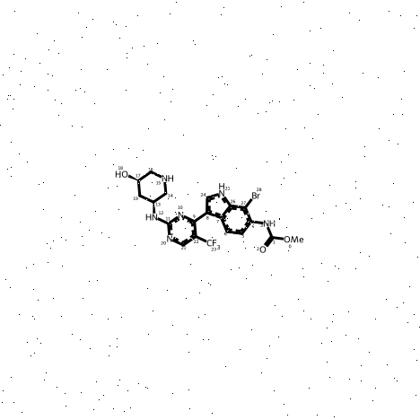 COC(=O)Nc1ccc2c(-c3nc(N[C@@H]4CNC[C@H](O)C4)ncc3C(F)(F)F)c[nH]c2c1Br